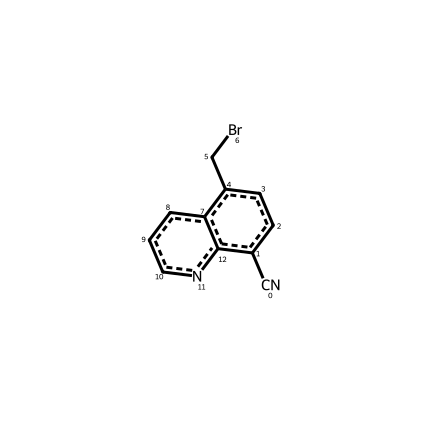 N#Cc1ccc(CBr)c2cccnc12